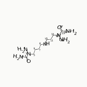 NC(=O)N(N)CCCCNCCCN(N)C(N)=O